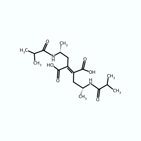 CC(C)C(=O)N[C@H](C)C/C(C(=O)O)=C(/C[C@@H](C)NC(=O)C(C)C)C(=O)O